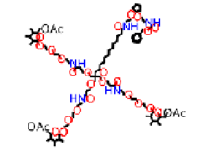 CC(=O)OCC1OC(OCCOCCOCCNC(=O)CCOCC(COCCC(=O)NCCOCCOCCOC2OC(COC(C)=O)C(C)C(C)C2C)(COCCC(=O)NCCOCCOCCOC2OC(COC(C)=O)C(C)C(C)C2C)CC(=O)CCCCCCCCCCC(=O)NCCOC2(OCCNC(=O)OCc3ccccc3)CCCC2)C(C)C(C)C1C